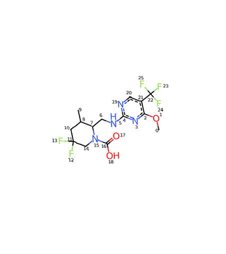 COc1nc(NCC2C(C)CC(F)(F)CN2C(=O)O)ncc1C(F)(F)F